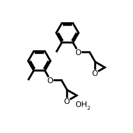 Cc1ccccc1OCC1CO1.Cc1ccccc1OCC1CO1.O